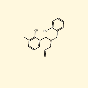 C=CCN(Cc1ccccc1O)Cc1cccc(C)c1O